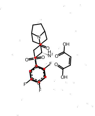 N[C@H](Cc1cc(F)c(F)cc1F)C1CC2CCC(C1)N2C(=O)CS(=O)(=O)N1CCOCC1.O=C(O)/C=C\C(=O)O